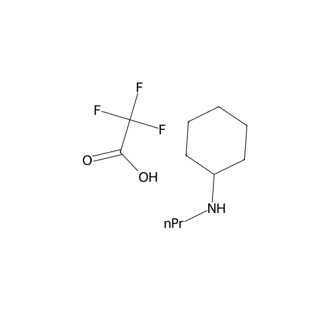 CCCNC1CCCCC1.O=C(O)C(F)(F)F